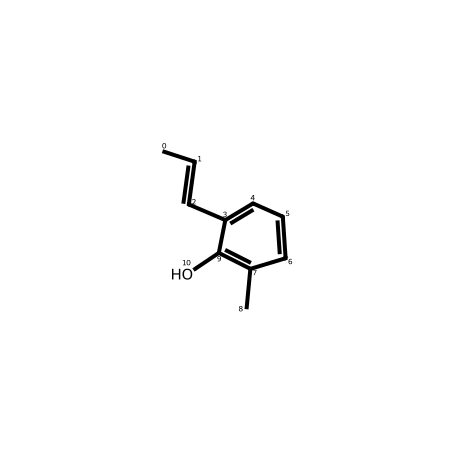 CC=Cc1cccc(C)c1O